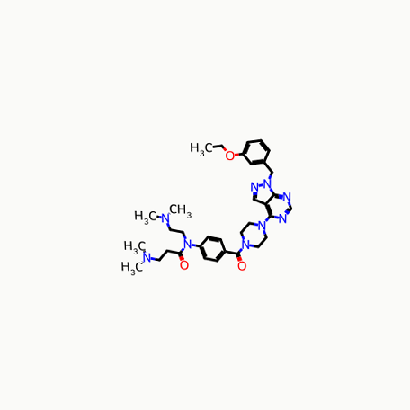 CCOc1cccc(Cn2ncc3c(N4CCN(C(=O)c5ccc(N(CCN(C)C)C(=O)CCN(C)C)cc5)CC4)ncnc32)c1